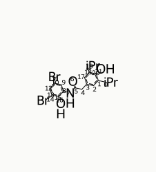 CC(C)c1cc(CC(=O)Nc2cc(Br)cc(Br)c2O)cc(C(C)C)c1O